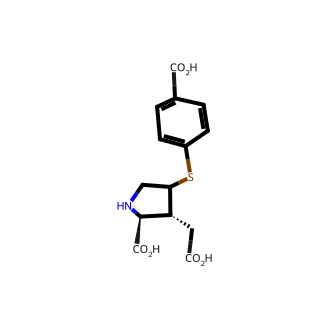 O=C(O)C[C@H]1C(Sc2ccc(C(=O)O)cc2)CN[C@@H]1C(=O)O